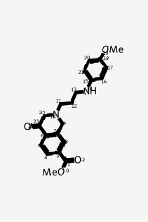 COC(=O)c1ccc2c(c1)CN(CCCNc1ccc(OC)cc1)CC2=O